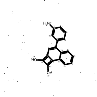 Nc1cccc(-c2cc3c(c4ccccc24)=C(O)C=3O)c1